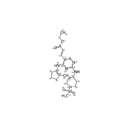 CCOC(=O)/C=C/c1cnc(NC2CCN(S(C)(=O)=O)CC2)nc1NC1=C(C)CCC1